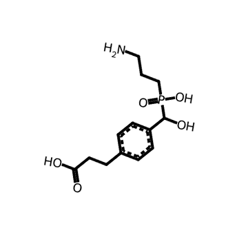 NCCCP(=O)(O)C(O)c1ccc(CCC(=O)O)cc1